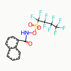 O=C(NOS(=O)(=O)C(F)(F)C(F)(F)C(F)(F)C(F)(F)F)c1cccc2ccccc12